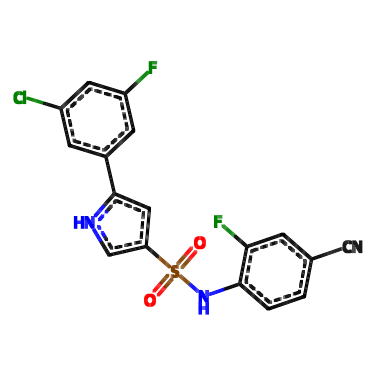 N#Cc1ccc(NS(=O)(=O)c2c[nH]c(-c3cc(F)cc(Cl)c3)c2)c(F)c1